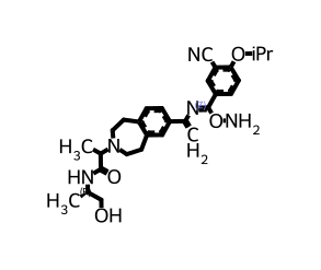 C=C(/N=C(\ON)c1ccc(OC(C)C)c(C#N)c1)c1ccc2c(c1)CCN(C(C)C(=O)N[C@H](C)CO)CC2